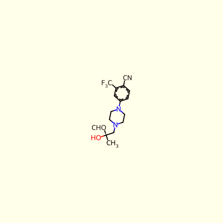 C[C@@](O)(C=O)CN1CCN(c2ccc(C#N)c(C(F)(F)F)c2)CC1